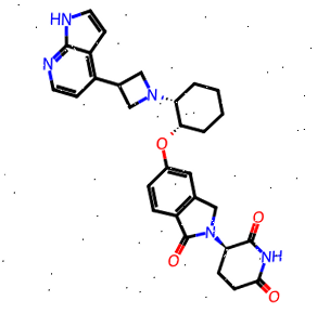 O=C1CC[C@@H](N2Cc3cc(O[C@H]4CCCC[C@H]4N4CC(c5ccnc6[nH]ccc56)C4)ccc3C2=O)C(=O)N1